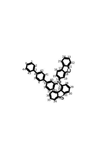 c1ccc(-c2ccc(-c3cccc(N(c4ccc5c(c4)oc4ccccc45)c4cccc5sc6ccccc6c45)c3)cc2)cc1